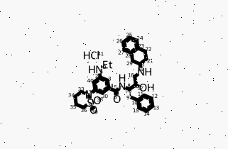 CCNc1cc(C(=O)N[C@@H](Cc2ccccc2)[C@H](O)CNC2CCc3ccccc3C2)cc(N2CCCCS2(=O)=O)c1.Cl